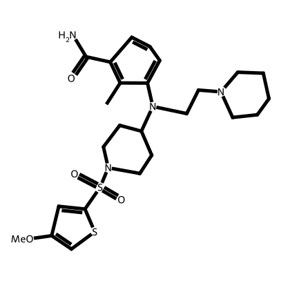 COc1csc(S(=O)(=O)N2CCC(N(CCN3CCCCC3)c3cccc(C(N)=O)c3C)CC2)c1